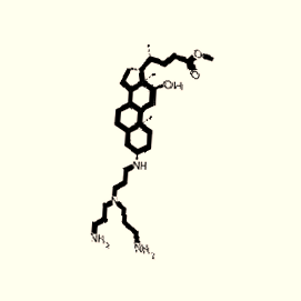 COC(=O)CC[C@@H](C)[C@H]1CCC2C3CCC4C[C@@H](NCCCN(CCCN)CCCN)CC[C@]4(C)C3C[C@H](O)[C@@]21C